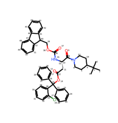 CC(C)(C)C1CCN(C(=O)[C@H](CC(=O)OC(c2ccccc2)(c2ccccc2)c2ccccc2Cl)NC(=O)OCC2c3ccccc3-c3ccccc32)CC1